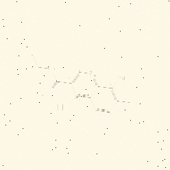 CCOC(=O)c1cnc2c(Br)c(F)ccc2c1O